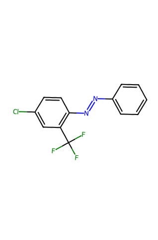 FC(F)(F)c1cc(Cl)ccc1N=Nc1ccccc1